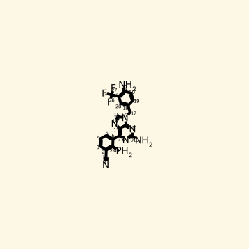 N#Cc1cccc(-c2nc(N)nc3c2ncn3Cc2ccc(N)c(C(F)(F)F)c2)c1P